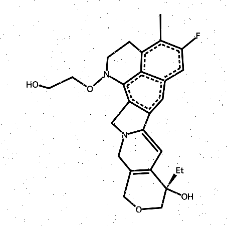 CC[C@@]1(O)COCC2=C1C=C1c3cc4cc(F)c(C)c5c4c(c3CN1C2)N(OCCO)CC5